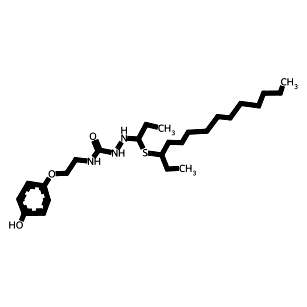 CCCCCCCCCCCC(CC)SC(CC)NNC(=O)NCCOc1ccc(O)cc1